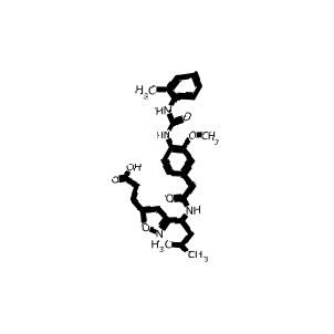 COc1cc(CC(=O)NC(CC(C)C)C2=NOC(CCC(=O)O)C2)ccc1NC(=O)Nc1ccccc1C